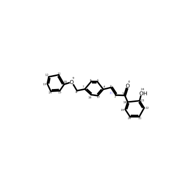 O=C(/C=C/c1ccc(COc2ccccc2)cc1)c1ccccc1O